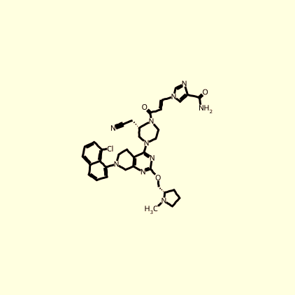 CN1CCC[C@H]1COc1nc2c(c(N3CCN(C(=O)/C=C/n4cnc(C(N)=O)c4)[C@@H](CC#N)C3)n1)CCN(c1cccc3cccc(Cl)c13)C2